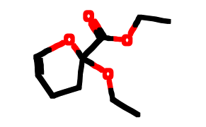 CCOC(=O)C1(OCC)CCC=CO1